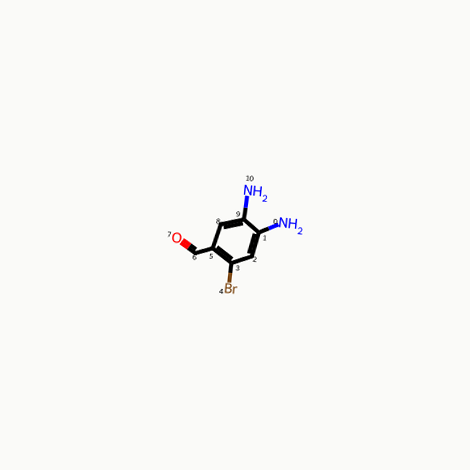 Nc1cc(Br)c(C=O)cc1N